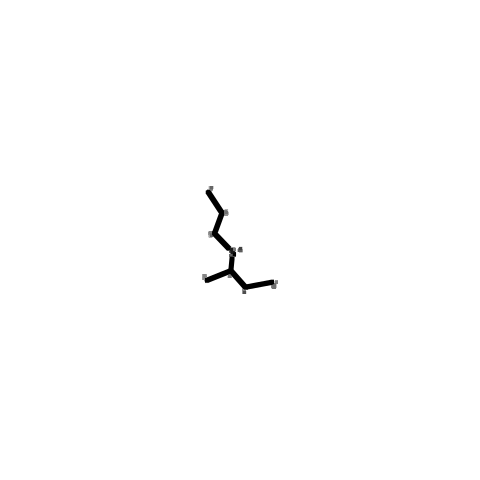 [CH2]CC(C)SCCC